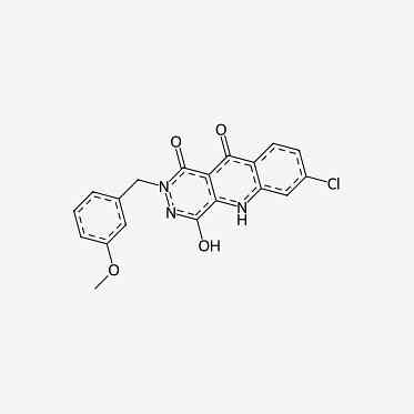 COc1cccc(Cn2nc(O)c3[nH]c4cc(Cl)ccc4c(=O)c3c2=O)c1